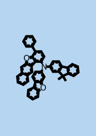 CC1(C)c2ccccc2-c2ccc(N(c3ccc4c(c3)oc3ccccc34)c3ccc(-c4ccccc4)c4oc5cc6ccccc6cc5c34)cc21